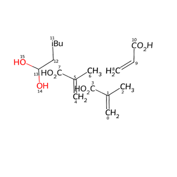 C=C(C)C(=O)O.C=C(C)C(=O)O.C=CC(=O)O.CCC(C)CC(O)O